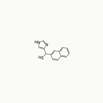 SC(c1ccc2ccccc2c1)c1c[nH]cn1